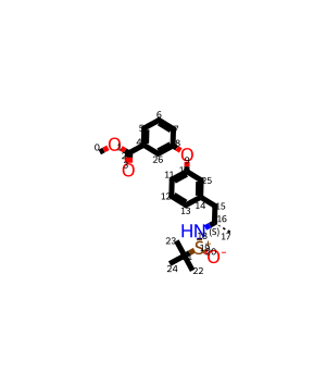 COC(=O)c1cccc(Oc2cccc(C[C@H](C)N[S+]([O-])C(C)(C)C)c2)c1